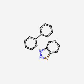 c1ccc(-c2ccccc2)cc1.c1ccc2snnc2c1